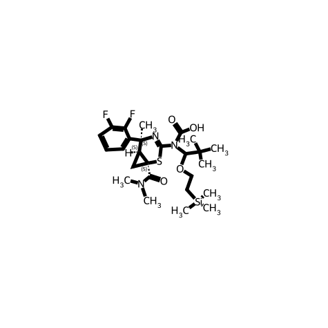 CN(C)C(=O)[C@]12C[C@H]1[C@@](C)(c1cccc(F)c1F)N=C(N(C(=O)O)C(OCC[Si](C)(C)C)C(C)(C)C)S2